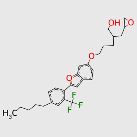 CCCCCc1ccc(-c2cc3ccc(OCCCC(CO)CC4CO4)cc3o2)c(C(F)(F)F)c1